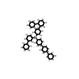 c1ccc(-c2ccc(-c3ccc(N(c4ccc(-c5ccccc5-c5ccccc5)cc4)c4cccc(-c5ccccc5)c4)cc3)cc2)cc1